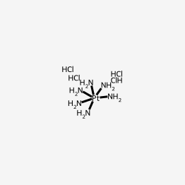 Cl.Cl.Cl.Cl.[NH2][Pt]([NH2])([NH2])([NH2])([NH2])[NH2]